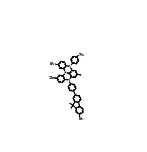 Cc1cc2c3c(c1)N(c1ccc(C(C)(C)C)cc1)c1ccc(C(C)(C)C)cc1B3c1cc(C(C)(C)C)ccc1N2c1ccc(-c2ccc3c(c2)C(C)(C)c2cc(C(C)(C)C)ccc2-3)cc1